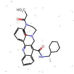 C[C@H](NC(=O)c1c(CN2CCN(C(=O)CC(=O)O)CC2)c(-c2ccccc2)nc2ccccc12)C1CCCCC1